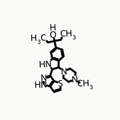 CCC(O)(CC)c1ccc2c(c1)NC(c1n[nH]c3ccsc13)C2N1CCN(C)CC1